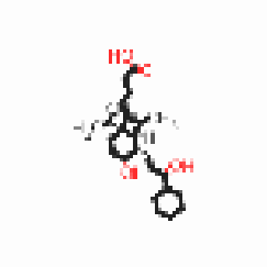 CC1C(=CCCC(=O)O)[C@]2(C(C)C)CC[C@H](O)[C@@H](/C=C/C(O)C3CCCCC3)[C@H]12